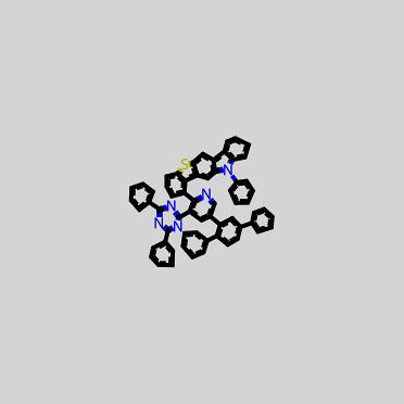 c1ccc(-c2ccc(-c3ccccc3)c(-c3cnc(-c4cccc5sc6cc7c8ccccc8n(-c8ccccc8)c7cc6c45)c(-c4nc(-c5ccccc5)nc(-c5ccccc5)n4)c3)c2)cc1